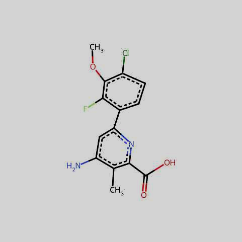 COc1c(Cl)ccc(-c2cc(N)c(C)c(C(=O)O)n2)c1F